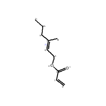 C=CC(=O)OC/C=C(\C)CCC